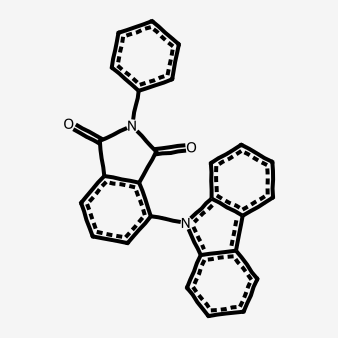 O=C1c2cccc(-n3c4ccccc4c4ccccc43)c2C(=O)N1c1ccccc1